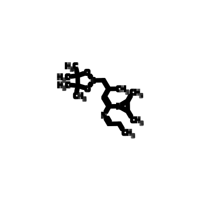 CC/C=N\C(=C\C(C)CB1OC(C)(C)C(C)(C)O1)N1C(C)C1C